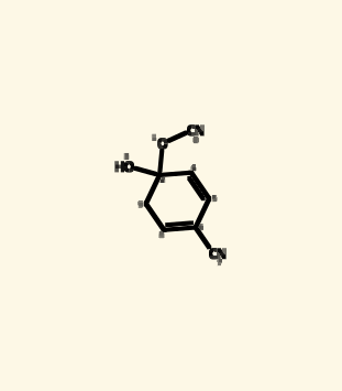 N#COC1(O)C=CC(C#N)=CC1